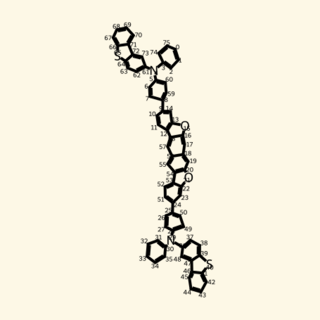 c1ccc(N(c2ccc(-c3ccc4c(c3)oc3cc5cc6oc7cc(-c8ccc(N(c9ccccc9)c9ccc%10sc%11ccccc%11c%10c9)cc8)ccc7c6cc5cc34)cc2)c2ccc3sc4ccccc4c3c2)cc1